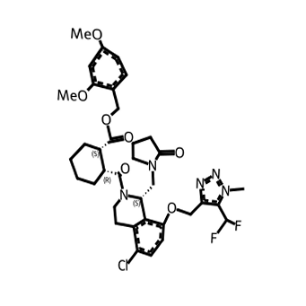 COc1ccc(COC(=O)[C@H]2CCCC[C@H]2C(=O)N2CCc3c(Cl)ccc(OCc4nnn(C)c4C(F)F)c3[C@H]2CN2CCCC2=O)c(OC)c1